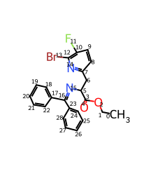 CCOC(=O)C(Cc1ccc(F)c(Br)n1)N=C(c1ccccc1)c1ccccc1